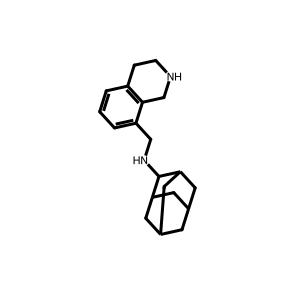 c1cc2c(c(CNC3C4CC5CC(C4)CC3C5)c1)CNCC2